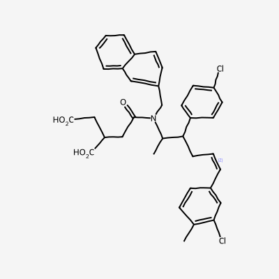 Cc1ccc(/C=C\CC(c2ccc(Cl)cc2)C(C)N(Cc2ccc3ccccc3c2)C(=O)CC(CC(=O)O)C(=O)O)cc1Cl